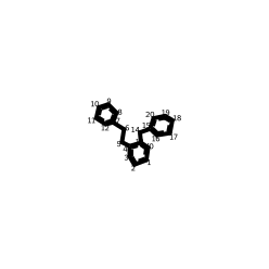 [c]1cccc(CCc2ccccc2)c1Cc1ccccc1